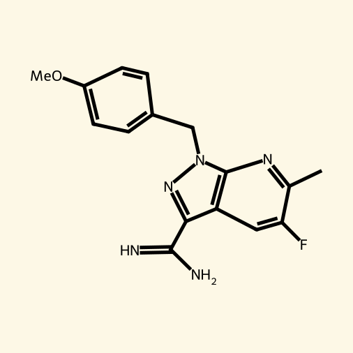 COc1ccc(Cn2nc(C(=N)N)c3cc(F)c(C)nc32)cc1